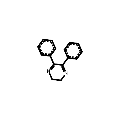 c1ccc(C2=NCCN=C2c2ccccc2)cc1